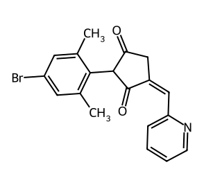 Cc1cc(Br)cc(C)c1C1C(=O)CC(=Cc2ccccn2)C1=O